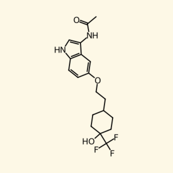 CC(=O)Nc1c[nH]c2ccc(OCCC3CCC(O)(C(F)(F)F)CC3)cc12